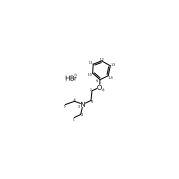 Br.CCN(CC)CCOc1ccccc1